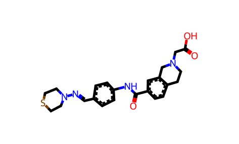 O=C(O)CN1CCc2ccc(C(=O)Nc3ccc(C=NN4CCSCC4)cc3)cc2C1